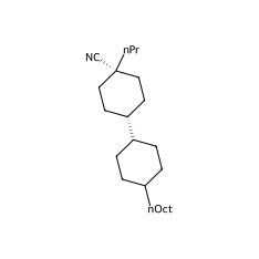 CCCCCCCCC1CCC([C@H]2CC[C@](C#N)(CCC)CC2)CC1